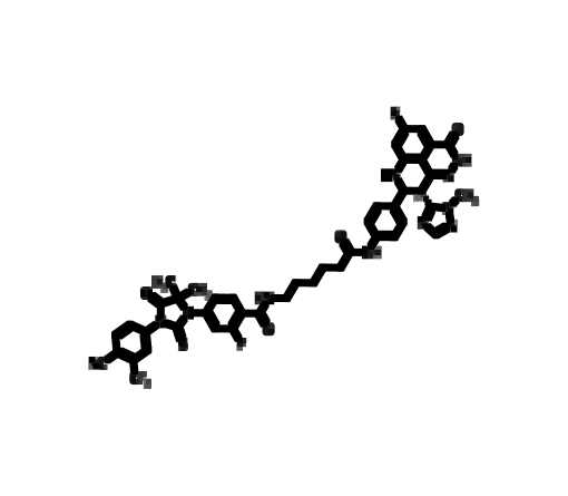 Cn1ncnc1[C@H]1c2n[nH]c(=O)c3cc(F)cc(c23)NC1c1ccc(NC(=O)CCCCCNC(=O)c2ccc(N3C(=S)N(c4ccc(C#N)c(C(F)(F)F)c4)C(=O)C3(C)C)cc2F)cc1